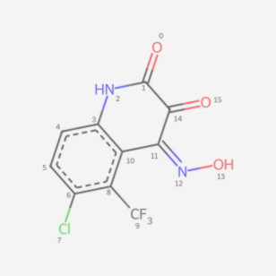 O=C1Nc2ccc(Cl)c(C(F)(F)F)c2C(=NO)C1=O